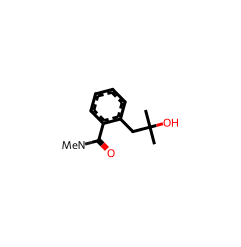 CNC(=O)c1ccccc1CC(C)(C)O